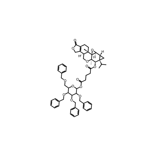 CC(C)[C@]12C[C@H]1[C@@H]1O[C@@]13[C@@]1(C)CCC4=C(COC4=O)[C@@H]1CO[C@]3(C)[C@@H]2OC(=O)CCCC(=O)OC1OC(COCc2ccccc2)C(OCc2ccccc2)C(OCc2ccccc2)C1OCc1ccccc1